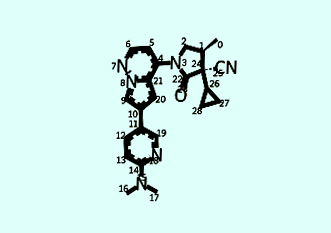 C[C@@H]1CN(c2ccnn3cc(-c4ccc(N(C)C)nc4)cc23)C(=O)[C@]1(C#N)C1CC1